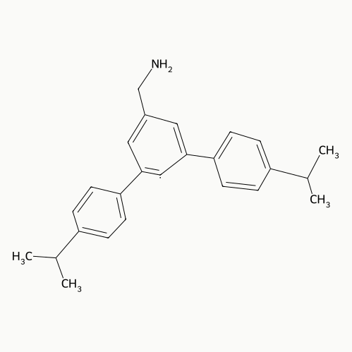 CC(C)c1ccc(-c2[c]c(-c3ccc(C(C)C)cc3)cc(CN)c2)cc1